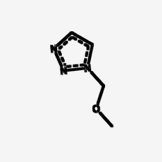 COCn1ccnn1